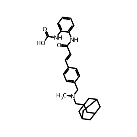 CN(Cc1ccc(/C=C/C(=O)Nc2ccccc2NC(=O)O)cc1)CC12CC3CC(CC(C3)C1)C2